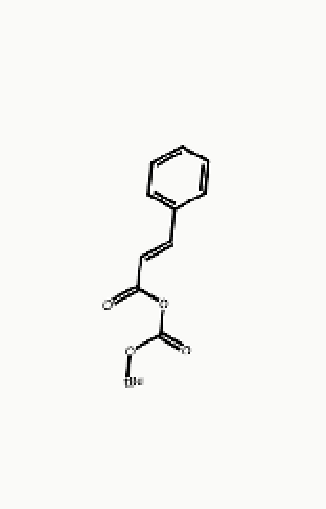 CC(C)(C)OC(=O)OC(=O)C=Cc1ccccc1